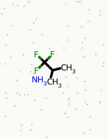 CC(C)C(F)(F)F.N